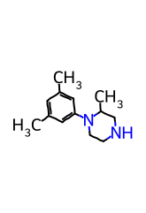 Cc1cc(C)cc(N2CCNCC2C)c1